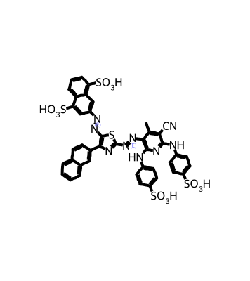 Cc1c(C#N)c(Nc2ccc(S(=O)(=O)O)cc2)nc(Nc2ccc(S(=O)(=O)O)cc2)c1/N=N/c1nc(-c2ccc3ccccc3c2)c(/N=N/c2cc(S(=O)(=O)O)c3cccc(S(=O)(=O)O)c3c2)s1